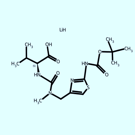 CC(C)[C@H](NC(=O)N(C)Cc1csc(NC(=O)OC(C)(C)C)n1)C(=O)O.[LiH]